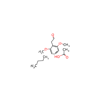 CC(=O)O.CCCC.COc1cccc(OC)c1CC=O